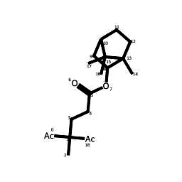 CC(=O)C(C)(CCC(=O)OC1CC2CCC1(C)C2(C)C)C(C)=O